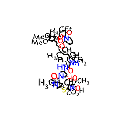 C=C(NCC(=O)N[C@H]1CCN(C(=O)[C@@H]2C[C@H](SC3=C(C(=O)O)N4C(=O)[C@H]([C@@H](C)O)[C@H]4[C@H]3C)CN2C)C1)C(C)(C)CCC(C)(C)C[C@@H](CCc1ccc(OC)c(OC)c1)OC(=O)[C@@H]1CCCCN1C(=O)C(=O)C(C)(C)CC